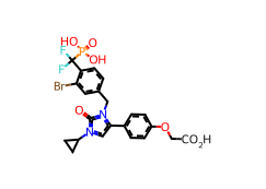 O=C(O)COc1ccc(-c2cn(C3CC3)c(=O)n2Cc2ccc(C(F)(F)P(=O)(O)O)c(Br)c2)cc1